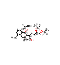 COc1cccc2c1C[C@H]1CC(=O)C(CCC(CO[Si](C)(C)C(C)(C)C)O[Si](C)(C)C(C)(C)C)=C1[C@@H]2O[Si](C)(C)C(C)(C)C